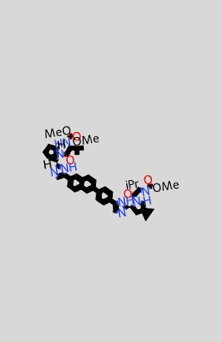 COC(=O)N[C@H](C(=O)N1CC2(CC2)C[C@H]1c1ncc(-c2ccc(-c3ccc4cc(-c5cnc([C@@H]6[C@H]7CC[C@H](C7)N6C(=O)[C@@H](NC(=O)OC)C(C)(C)OC)[nH]5)ccc4c3)cc2)[nH]1)C(C)C